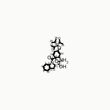 COC1(C(=O)N2c3ccccc3C[C@H]2CO)C=CC(O[Si](C(C)C)(C(C)C)C(C)C)=CC1N